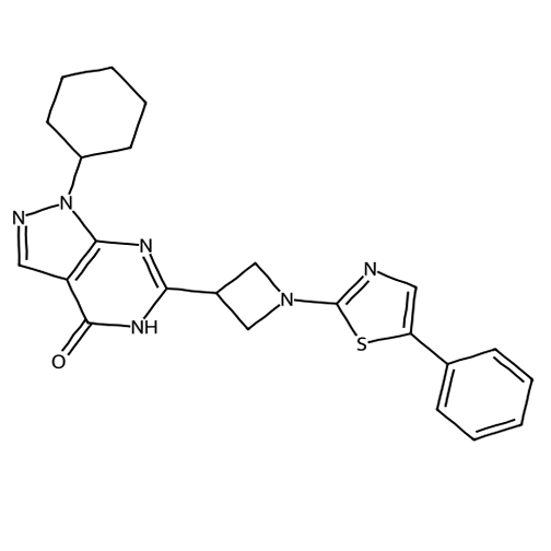 O=c1[nH]c(C2CN(c3ncc(-c4ccccc4)s3)C2)nc2c1cnn2C1CCCCC1